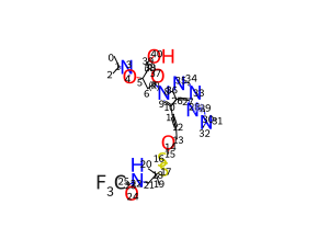 CC(C)=NOC1C[C@H](n2cc(C#CCOCSSC(C)(C)CNC(=O)C(F)(F)F)c3c(/N=C/N(C)C)ncnc32)O[C@@H]1CO